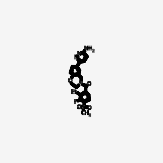 CCc1c(C(=O)N2CCOc3ccc(-c4ccc(N)nn4)cc3C2)ccc(S(C)(=O)=O)c1F